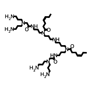 CC/C=C\CCC(=O)N(CCCCNCCCN(CCCNC(=O)CN(CCCN)CCCN)C(=O)CC/C=C\CC)CCCNC(=O)CN(CCCN)CCCN